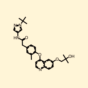 Cc1cc(CC(=O)Nc2cnn(C(C)(C)C)c2)ccc1Oc1ccnc2ccc(OCC(C)(C)O)cc12